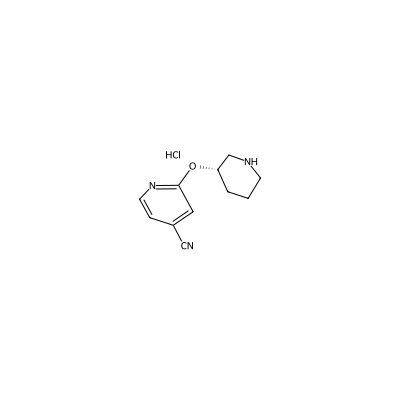 Cl.N#Cc1ccnc(O[C@H]2CCCNC2)c1